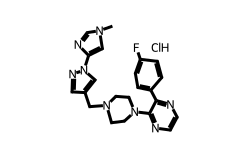 Cl.Cn1cnc(-n2cc(CN3CCN(c4nccnc4-c4ccc(F)cc4)CC3)cn2)c1